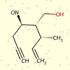 C#CC[C@@H](N=O)[C@H](CO)[C@H](C)C=C